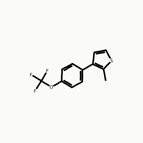 Cc1sccc1-c1ccc(OC(F)(F)F)cc1